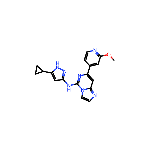 COc1cc(-c2cc3nccn3c(Nc3cc(C4CC4)[nH]n3)n2)ccn1